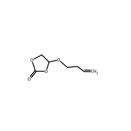 C=CCCOC1COC(=O)O1